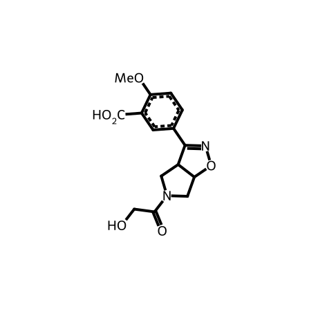 COc1ccc(C2=NOC3CN(C(=O)CO)CC23)cc1C(=O)O